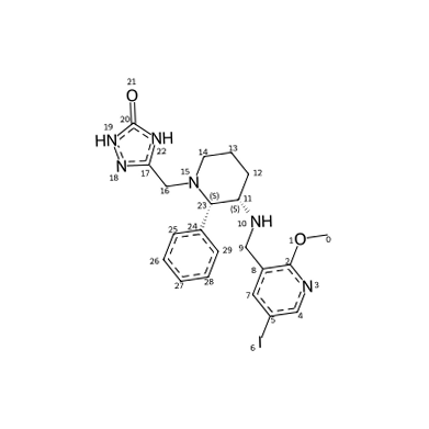 COc1ncc(I)cc1CN[C@H]1CCCN(Cc2n[nH]c(=O)[nH]2)[C@H]1c1ccccc1